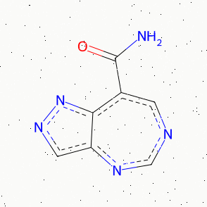 NC(=O)c1cncnc2cnnc1-2